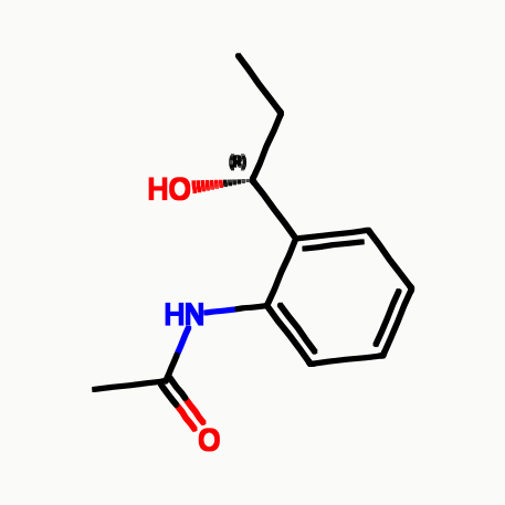 CC[C@@H](O)c1ccccc1NC(C)=O